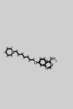 Nc1ncnc2cc(OCCCCCCCN3CCCCC3)ccc12